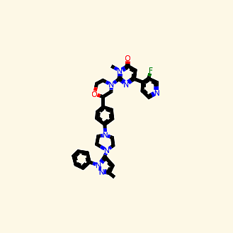 Cc1cc(N2CCN(c3ccc(C4CN(c5nc(-c6ccncc6F)cc(=O)n5C)CCO4)cc3)CC2)n(-c2ccccc2)n1